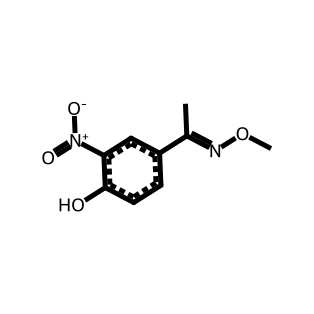 CO/N=C(\C)c1ccc(O)c([N+](=O)[O-])c1